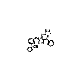 Nc1nc(-c2ccccc2)c2nnn(Cc3cccc(C4(O)CCCC4)n3)c2n1